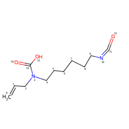 C=CCN(CCCCCCN=C=O)C(=O)O